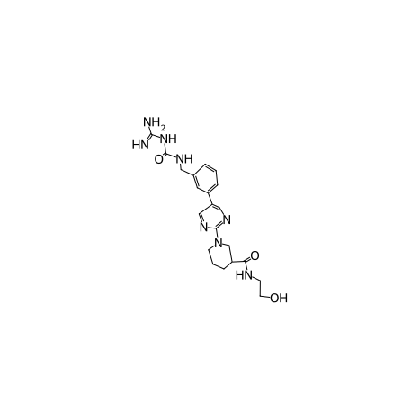 N=C(N)NC(=O)NCc1cccc(-c2cnc(N3CCCC(C(=O)NCCO)C3)nc2)c1